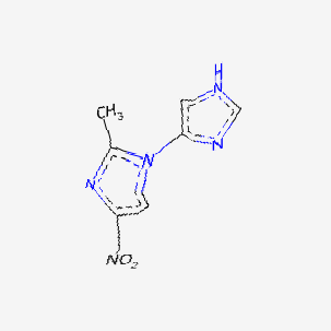 Cc1nc([N+](=O)[O-])cn1-c1c[nH]cn1